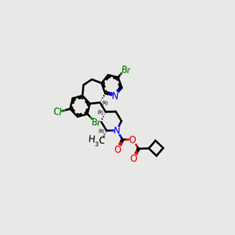 C[C@@H]1C[C@H]([C@H]2c3ncc(Br)cc3CCc3cc(Cl)cc(Br)c32)CCN1C(=O)OC(=O)C1CCC1